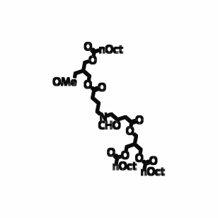 CCCCCCCCC(=O)OCC(COC)COC(=O)CCCN(C=O)CCCC(=O)OCC(COC(=O)CCCCCCCC)COC(=O)CCCCCCCC